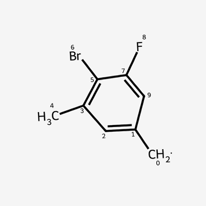 [CH2]c1cc(C)c(Br)c(F)c1